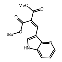 COC(=O)C(=Cc1c[nH]c2cccnc12)C(=O)OC(C)(C)C